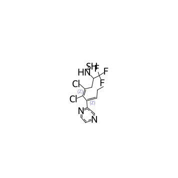 CC/C=C(\C(Cl)=C(\Cl)CC(NS)C(F)(F)F)c1cnccn1